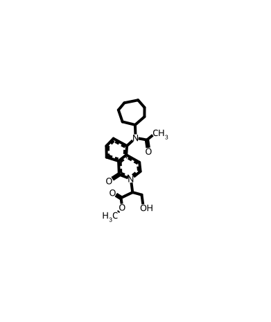 COC(=O)C(CO)n1ccc2c(N(C(C)=O)C3CCCCCC3)cccc2c1=O